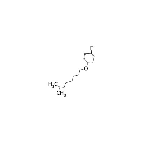 C[C](C)CCCCCCOc1ccc(F)cc1